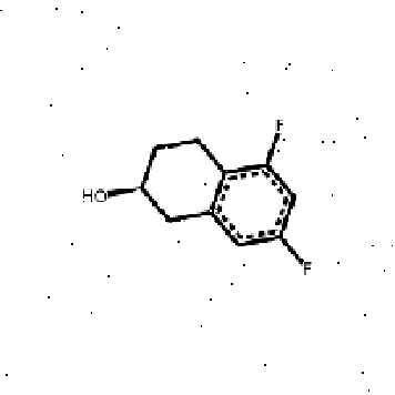 O[C@H]1CCc2c(F)cc(F)cc2C1